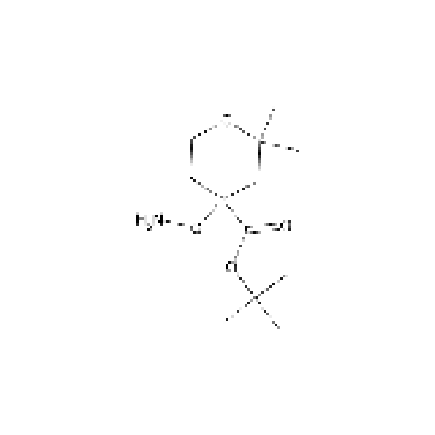 CC(C)(C)OC(=O)C1(ON)CCOC(C)(C)C1